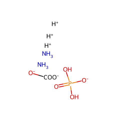 N.N.O=C([O-])[O-].O=P([O-])(O)O.[H+].[H+].[H+]